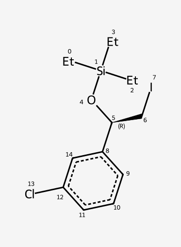 CC[Si](CC)(CC)O[C@@H](CI)c1cccc(Cl)c1